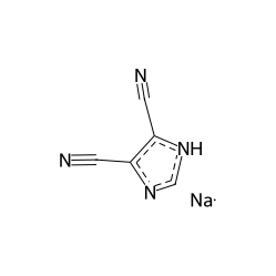 N#Cc1nc[nH]c1C#N.[Na]